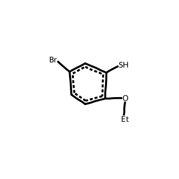 CCOc1ccc(Br)cc1S